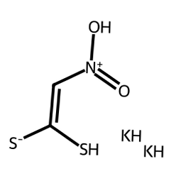 O=[N+](O)C=C([S-])S.[KH].[KH]